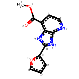 COC(=O)c1ccnc2[nH]c(-c3ccco3)nc12